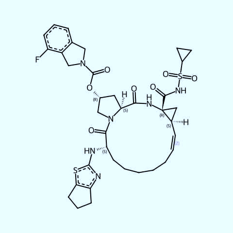 O=C1N[C@]2(C(=O)NS(=O)(=O)C3CC3)C[C@H]2/C=C\CCCCC[C@H](Nc2nc3c(s2)CCC3)C(=O)N2C[C@H](OC(=O)N3Cc4cccc(F)c4C3)C[C@@H]12